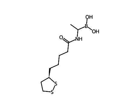 CC(NC(=O)CCCC[C@@H]1CCSS1)B(O)O